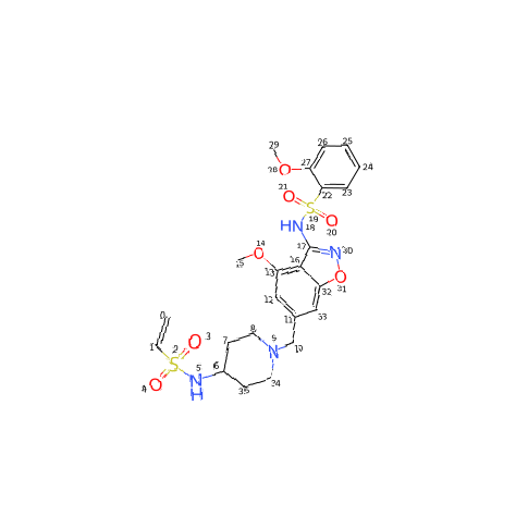 C=CS(=O)(=O)NC1CCN(Cc2cc(OC)c3c(NS(=O)(=O)c4ccccc4OC)noc3c2)CC1